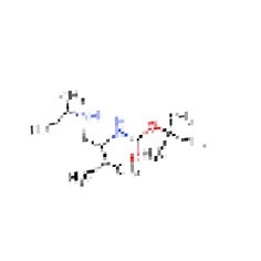 CC(C)NCC(NC(=O)OC(C)(C)C)C(C)C